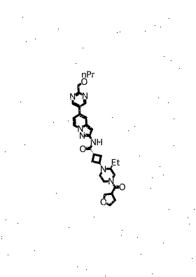 CCCOCc1ncc(-c2ccn3nc(NC(=O)[C@H]4C[C@@H](N5CCN(C(=O)C6CCOC6)C[C@@H]5CC)C4)cc3c2)cn1